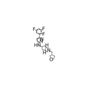 Fc1cc(F)c(F)c(-c2ccc(NC3C[C@@H]4CN(C[C@H]5CCOC5)C[C@@H]4C3)nn2)c1